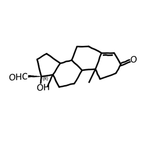 CC12CCC(=O)C=C1CCC1C2CCC2(C)C1CC[C@]2(O)C=O